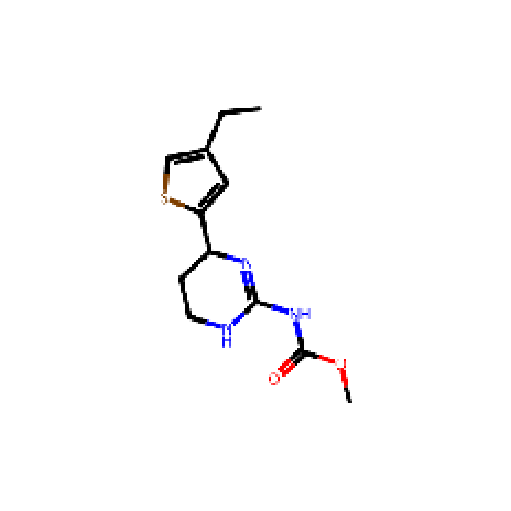 CCc1csc(C2CCNC(NC(=O)OC)=N2)c1